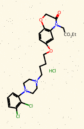 CCOC(=O)CN1C(=O)COc2ccc(OCCCCN3CCN(c4cccc(Cl)c4Cl)CC3)cc21.Cl